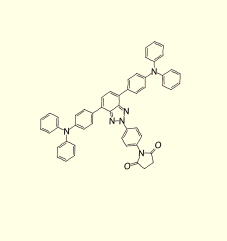 O=C1CCC(=O)N1c1ccc(-n2nc3c(-c4ccc(N(c5ccccc5)c5ccccc5)cc4)ccc(-c4ccc(N(c5ccccc5)c5ccccc5)cc4)c3n2)cc1